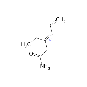 C=C/C=C(\CC)CC(N)=O